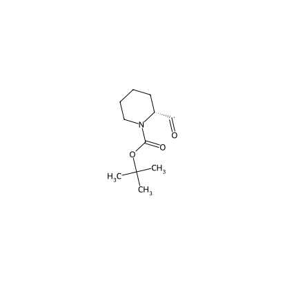 CC(C)(C)OC(=O)N1CCCC[C@@H]1[C]=O